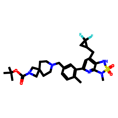 Cc1ccc(CN2CCC3(CC2)CN(C(=O)OC(C)(C)C)C3)cc1-c1cc(CC2CC2(F)F)c2c(n1)N(C)S(=O)(=O)N2